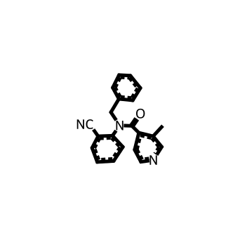 Cc1cnccc1C(=O)N(Cc1ccccc1)c1ccccc1C#N